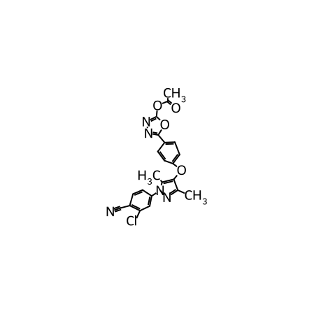 CC(=O)Oc1nnc(-c2ccc(Oc3c(C)nn(-c4ccc(C#N)c(Cl)c4)c3C)cc2)o1